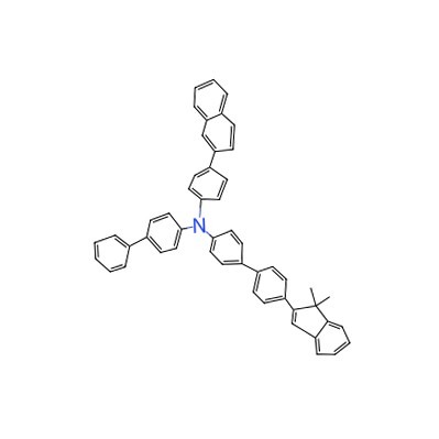 CC1(C)C(c2ccc(-c3ccc(N(c4ccc(-c5ccccc5)cc4)c4ccc(-c5ccc6ccccc6c5)cc4)cc3)cc2)=Cc2ccccc21